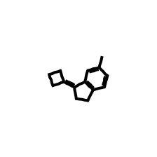 Cc1ccc2c(c1)C(=C1CCC1)CC2